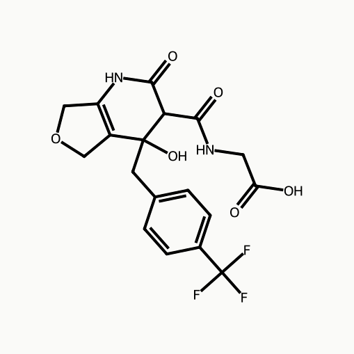 O=C(O)CNC(=O)C1C(=O)NC2=C(COC2)C1(O)Cc1ccc(C(F)(F)F)cc1